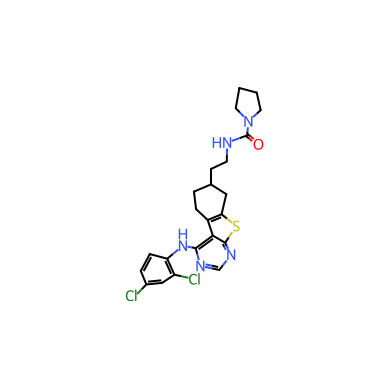 O=C(NCCC1CCc2c(sc3ncnc(Nc4ccc(Cl)cc4Cl)c23)C1)N1CCCC1